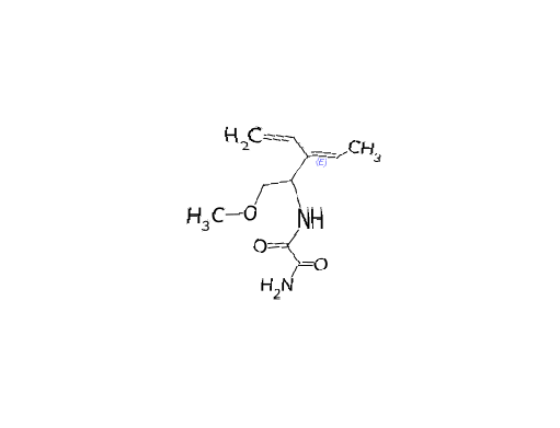 C=C/C(=C\C)C(COC)NC(=O)C(N)=O